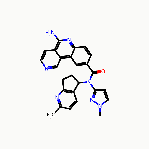 Cn1ccc(N(C(=O)c2ccc3nc(N)c4ccncc4c3c2)C2CCc3nc(C(F)(F)F)ccc32)n1